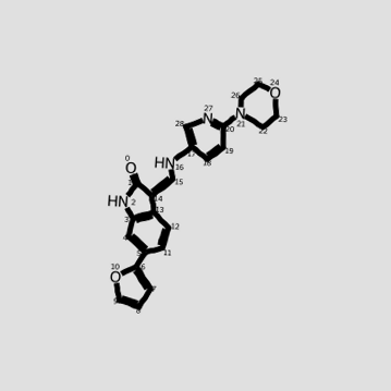 O=C1Nc2cc(-c3ccco3)ccc2C1=CNc1ccc(N2CCOCC2)nc1